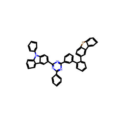 c1ccc(-c2nc(-c3cccc(-c4ccccc4-c4ccc5sc6ccccc6c5c4)c3)nc(-c3ccc4c(c3)c3ccccc3n4-c3ccccc3)n2)cc1